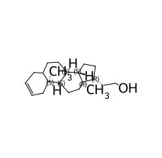 C[C@]12CC[C@H]3[C@@H](CCC4CC=CC[C@@]43C)[C@@H]1CC[C@@H]2CCO